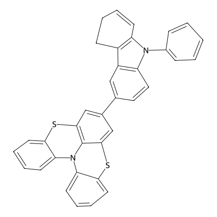 C1=Cc2c(c3cc(-c4cc5c6c(c4)Sc4ccccc4N6c4ccccc4S5)ccc3n2-c2ccccc2)CC1